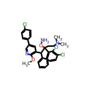 COc1ncc(-c2ccc(Cl)cc2)cc1C(c1ccccc1)C(CCN(C)C)(ON)c1cccc(Cl)c1Cl